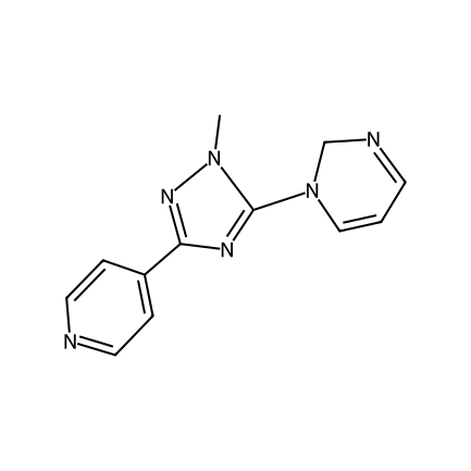 Cn1nc(-c2ccncc2)nc1N1C=CC=NC1